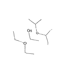 CC(C)OC(C)C.CCO.CCOCC